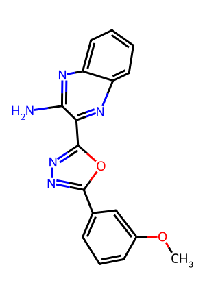 COc1cccc(-c2nnc(-c3nc4ccccc4nc3N)o2)c1